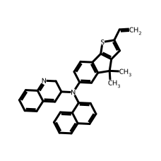 C=Cc1cc2c(s1)-c1ccc(N(c3cccc4ccccc34)C3C=c4ccccc4=NC3)cc1C2(C)C